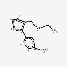 CCOCc1nc[nH]c1-c1cc(C)cs1